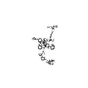 COc1ccccc1Oc1c(OCCOC(=O)c2cccc(CON(O)O)c2)nc(-c2ncccn2)nc1N(C(C)OC(=O)OCCCCON(O)O)S(=O)(=O)c1ccc(C(C)(C)C)cc1